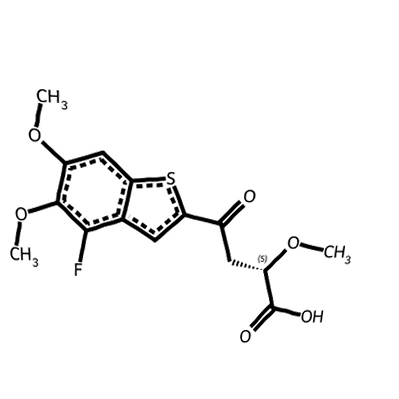 COc1cc2sc(C(=O)C[C@H](OC)C(=O)O)cc2c(F)c1OC